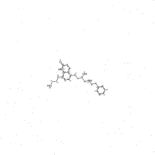 O=c1ccc2c(OCC(O)CNCCc3ccccc3)ccc(OCCO)c2[nH]1